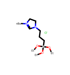 CCCC[N+]1=CN(CCC[Si](OCC)(OCC)OCC)CC1.[Cl-]